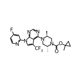 C[C@@H]1CN(c2ncnc3c2c(C(F)(F)F)cn3-c2cc(F)ccn2)[C@@H](C)CN1C(=O)OC1(C)CC1